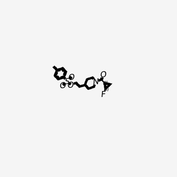 Cc1ccc(S(=O)(=O)OCCC2CCN(C(=O)[C@H]3C[C@@H]3F)CC2)cc1